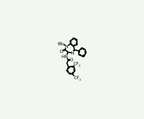 CC(C)(C)N1C(=O)C(NC(=O)Cc2ccc(C(F)(F)F)cc2C(F)(F)F)N=C(c2ccccc2)c2ccccc21